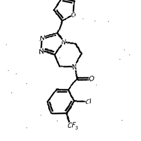 O=C(c1cccc(C(F)(F)F)c1Cl)N1CCn2c(nnc2-c2ccco2)C1